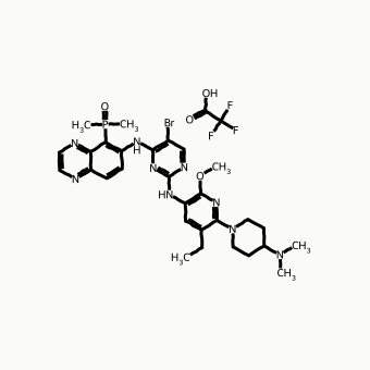 CCc1cc(Nc2ncc(Br)c(Nc3ccc4nccnc4c3P(C)(C)=O)n2)c(OC)nc1N1CCC(N(C)C)CC1.O=C(O)C(F)(F)F